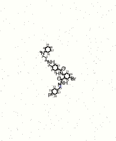 CN(CCCNCc1ccc(C(=O)Nc2ccc(Br)cc2C(=O)N/N=C/c2ccc(F)cc2)cc1)c1ccccc1